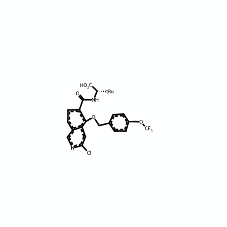 CC(C)(C)[C@H](NC(=O)c1ccc2cnc(Cl)cc2c1OCc1ccc(OC(F)(F)F)cc1)C(=O)O